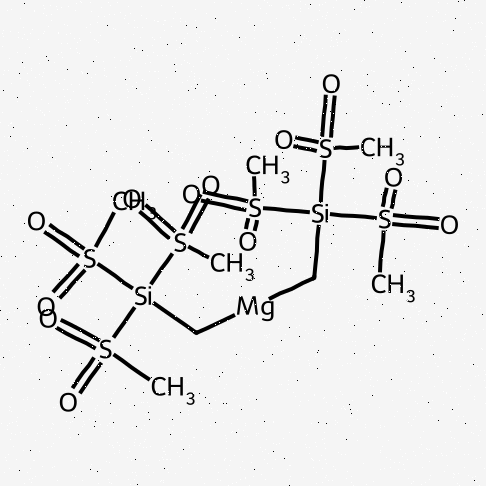 CS(=O)(=O)[Si]([CH2][Mg][CH2][Si](S(C)(=O)=O)(S(C)(=O)=O)S(C)(=O)=O)(S(C)(=O)=O)S(C)(=O)=O